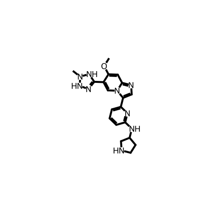 COc1cc2ncc(-c3cccc(NC4CCNC4)n3)n2cc1C1=NNN(C)N1